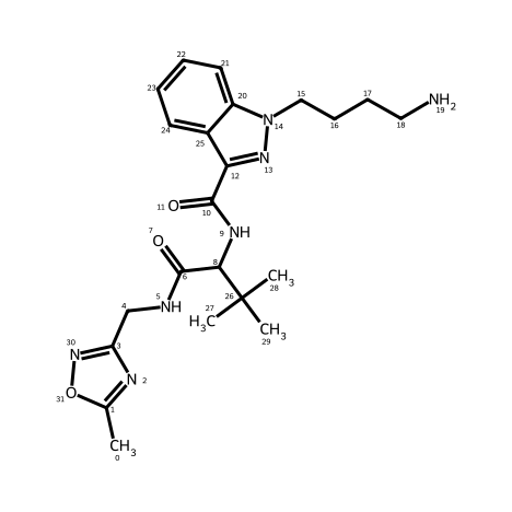 Cc1nc(CNC(=O)C(NC(=O)c2nn(CCCCN)c3ccccc23)C(C)(C)C)no1